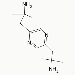 CC(C)(N)Cc1cnc(CC(C)(C)N)cn1